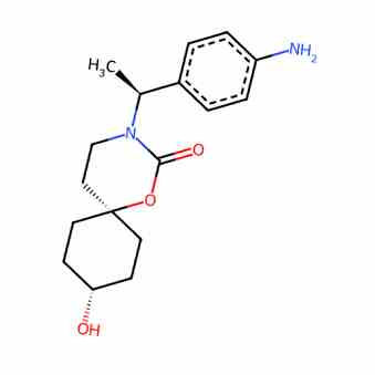 C[C@@H](c1ccc(N)cc1)N1CC[C@]2(CC[C@@H](O)CC2)OC1=O